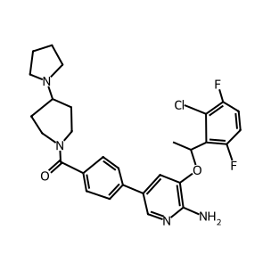 CC(Oc1cc(-c2ccc(C(=O)N3CCC(N4CCCC4)CC3)cc2)cnc1N)c1c(F)ccc(F)c1Cl